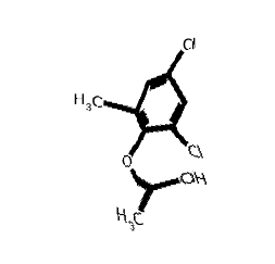 Cc1cc(Cl)cc(Cl)c1OC(C)O